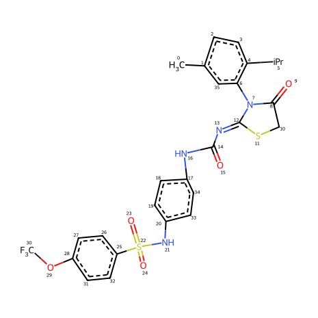 Cc1ccc(C(C)C)c(N2C(=O)CSC2=NC(=O)Nc2ccc(NS(=O)(=O)c3ccc(OC(F)(F)F)cc3)cc2)c1